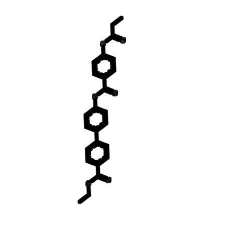 CCOC(=O)c1ccc(-c2ccc(OC(=O)c3ccc(OC(=O)CC)cc3)cc2)cc1